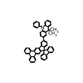 CC1(C)c2ccccc2N(c2ccccc2)c2ccc(-c3ccc4c(c3)-c3cc5c6ccccc6c6ccccc6c5cc3C43c4ccccc4-c4ccccc43)cc21